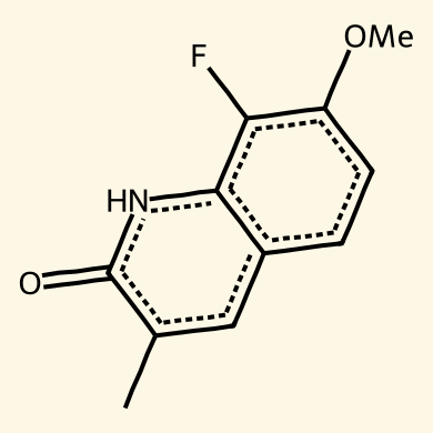 COc1ccc2cc(C)c(=O)[nH]c2c1F